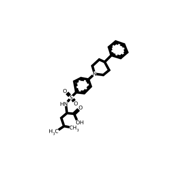 CC(C)CC(NS(=O)(=O)c1ccc(N2CCC(c3ccccc3)CC2)cc1)C(=O)O